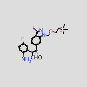 C[Si](C)(C)CCOCn1nc(I)c2ccc(/C=C(/C=O)c3cc(F)ccc3N)cc21